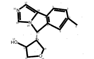 Cc1ccc2c(c1)[C@H](C1COCC1O)n1cncc1-2